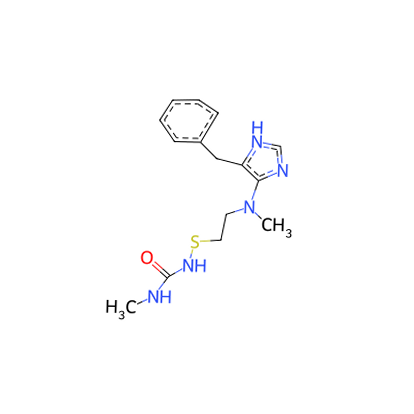 CNC(=O)NSCCN(C)c1nc[nH]c1Cc1ccccc1